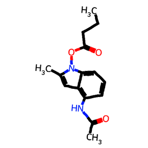 CCCC(=O)On1c(C)cc2c(NC(C)=O)cccc21